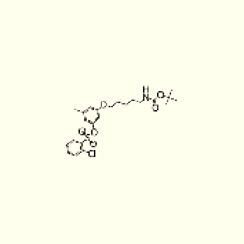 Cc1cc(OCCCCCNC(=O)OC(C)(C)C)cc(OS(=O)(=O)c2ccccc2Cl)c1